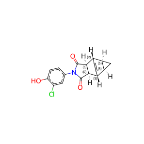 O=C1[C@@H]2[C@@H]3C=C[C@@H]([C@H]4C[C@@H]34)[C@@H]2C(=O)N1c1ccc(O)c(Cl)c1